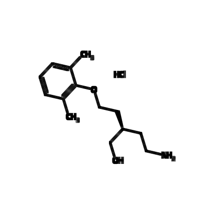 Cc1cccc(C)c1OCC[C@H](CO)CCN.Cl